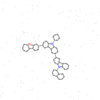 c1ccc(-n2c3ccc(-c4ccc5c(c4)oc4ccccc45)cc3c3cc(-c4ccc5c(c4)c4ccccc4n5-c4cccc5ccccc45)ccc32)cc1